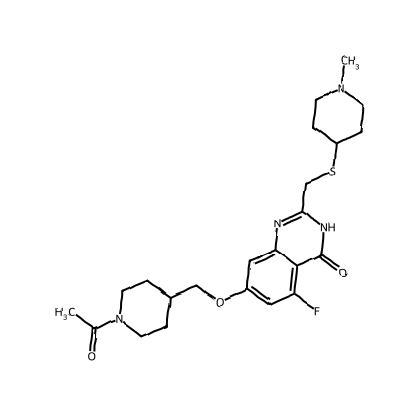 CC(=O)N1CCC(COc2cc(F)c3c(=O)[nH]c(CSC4CCN(C)CC4)nc3c2)CC1